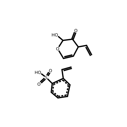 C=CC1C=COC(O)C1=O.C=Cc1ccccc1S(=O)(=O)O